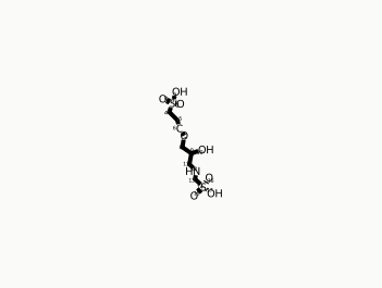 O=S(=O)(O)CCCOCC(O)CNCS(=O)(=O)O